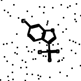 O=S(=O)(Cl)c1coc2cc(Cl)ccc12